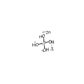 [OH][Ti]([OH])([OH])[OH].[Ti].[Zn]